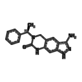 C[C@H](c1ccccc1)N1Cc2cc3c(N)n[nH]c3cc2NC1=O